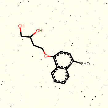 O=Cc1ccc(OCCC(O)CO)c2ccccc12